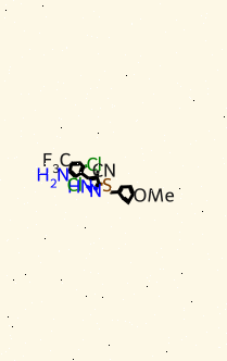 COc1ccc(CSc2n[nH]c(-c3c(Cl)cc(C(F)(F)F)c(N)c3Cl)c2C#N)cc1